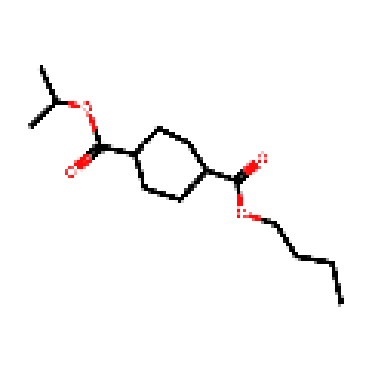 CCCCOC(=O)C1CCC(C(=O)OC(C)C)CC1